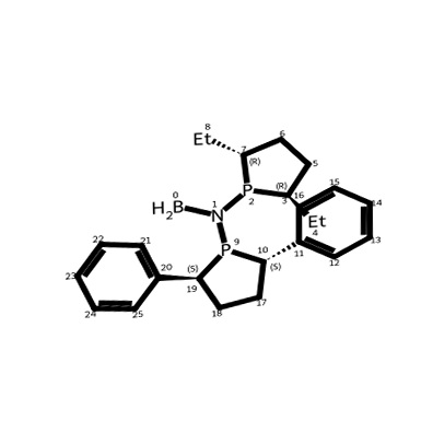 BN(P1[C@H](CC)CC[C@H]1CC)P1[C@H](c2ccccc2)CC[C@H]1c1ccccc1